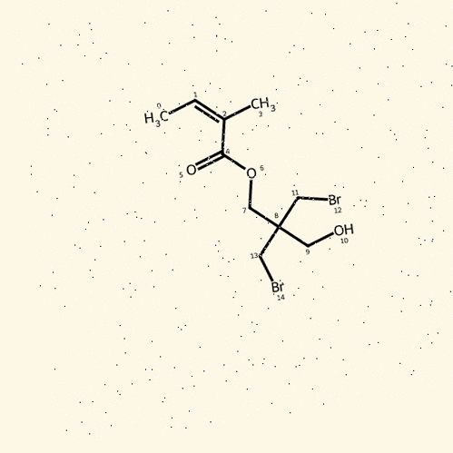 CC=C(C)C(=O)OCC(CO)(CBr)CBr